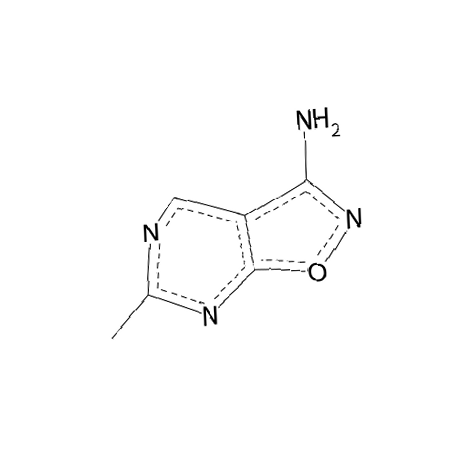 Cc1ncc2c(N)noc2n1